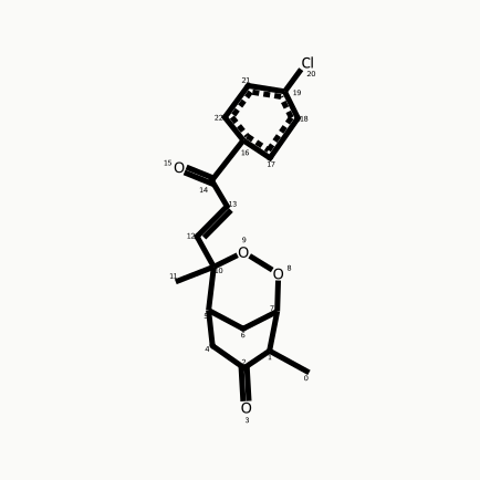 CC1C(=O)CC2CC1OOC2(C)C=CC(=O)c1ccc(Cl)cc1